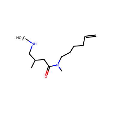 C=CCCCCN(C)C(=O)CC(C)CNC(=O)O